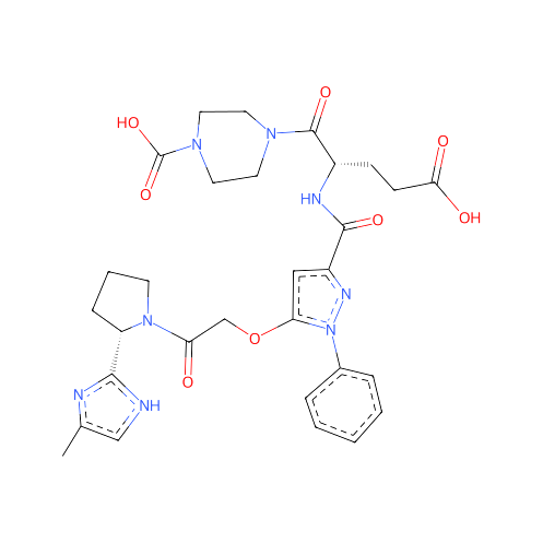 Cc1c[nH]c([C@@H]2CCCN2C(=O)COc2cc(C(=O)N[C@@H](CCC(=O)O)C(=O)N3CCN(C(=O)O)CC3)nn2-c2ccccc2)n1